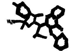 Cc1ccc(C(=O)N(CC(C)(C)CN)C(c2nc3ccccn3c(=O)c2Cc2ccccc2)C(C)C)cc1